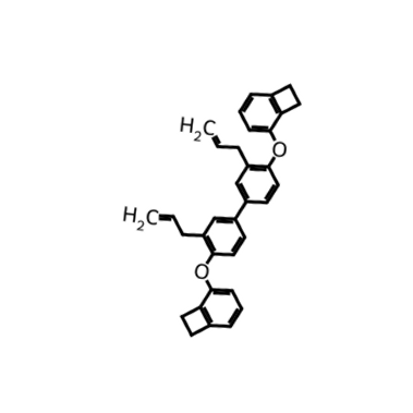 C=CCc1cc(-c2ccc(Oc3cccc4c3CC4)c(CC=C)c2)ccc1Oc1cccc2c1CC2